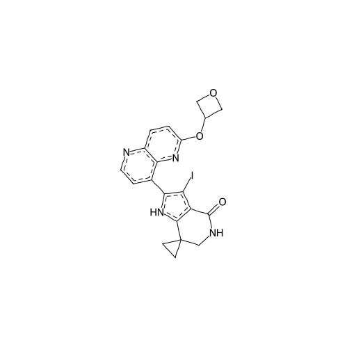 O=C1NCC2(CC2)c2[nH]c(-c3ccnc4ccc(OC5COC5)nc34)c(I)c21